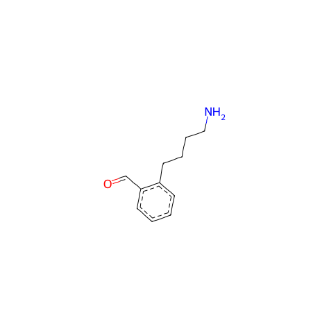 NCCCCc1ccccc1C=O